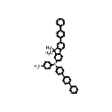 Cc1ccc(N(c2ccc(-c3ccc(-c4ccccc4)cc3)cc2)c2ccc3c(c2)C(C)(C)c2cc(-c4ccc(-c5ccccc5)cc4)ccc2-3)cc1